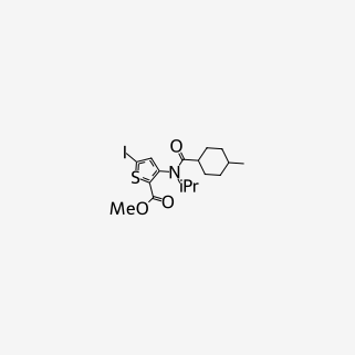 COC(=O)c1sc(I)cc1N(C(=O)C1CCC(C)CC1)C(C)C